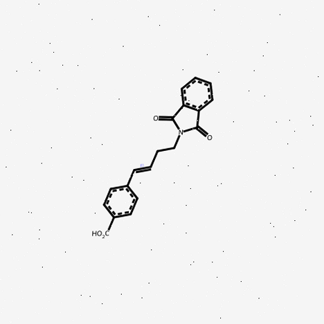 O=C(O)c1ccc(/C=C/CCN2C(=O)c3ccccc3C2=O)cc1